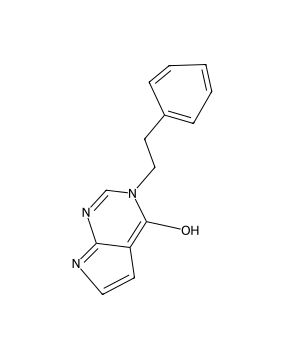 Oc1c2ccnc-2ncn1CCc1ccccc1